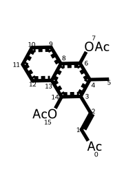 CC(=O)C=Cc1c(C)c(OC(C)=O)c2ccccc2c1OC(C)=O